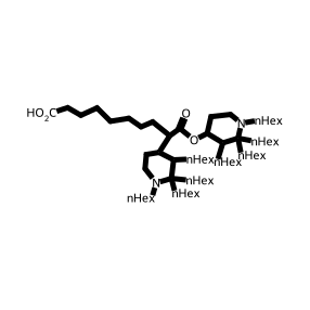 CCCCCCC1C(OC(=O)C(CCCCCCCC(=O)O)C2CCN(CCCCCC)C(CCCCCC)(CCCCCC)C2CCCCCC)CCN(CCCCCC)C1(CCCCCC)CCCCCC